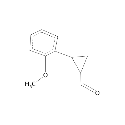 COc1ccccc1C1CC1C=O